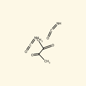 CC(=O)C(C)=O.N=C=O.N=C=O